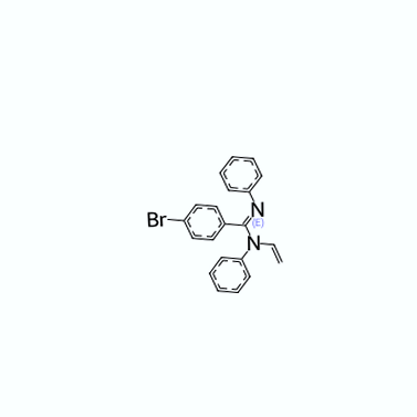 C=CN(/C(=N/c1ccccc1)c1ccc(Br)cc1)c1ccccc1